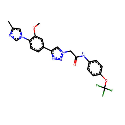 COc1cc(-c2cn(CC(=O)Nc3ccc(OC(F)(F)F)cc3)nn2)ccc1-n1cnc(C)c1